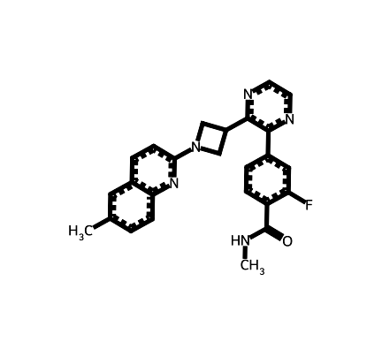 CNC(=O)c1ccc(-c2nccnc2C2CN(c3ccc4cc(C)ccc4n3)C2)cc1F